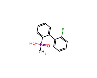 CP(=O)(O)c1ccccc1-c1ccccc1F